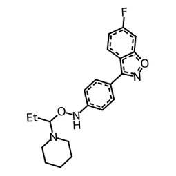 CCC(ONc1ccc(-c2noc3cc(F)ccc23)cc1)N1CCCCC1